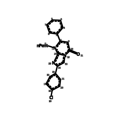 CCCCCn1c(-c2ccccc2)cc(=O)n2cc(-c3ccc(Cl)cc3)nc12